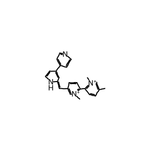 Cc1ccc(-c2ccc(C=C3C=C(c4ccncc4)C=CN3)c[n+]2C)[n+](C)c1